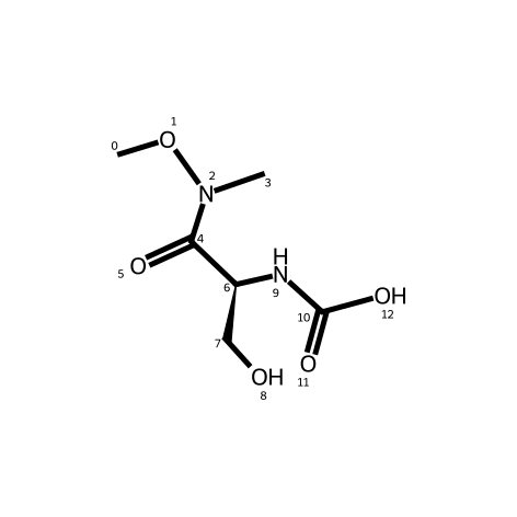 CON(C)C(=O)[C@H](CO)NC(=O)O